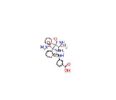 CC(C)C(C(N)=O)(c1ccccc1)C(NC(=O)Nc1cccc(C(=O)O)c1)(C(N)=O)c1ccccc1Cl